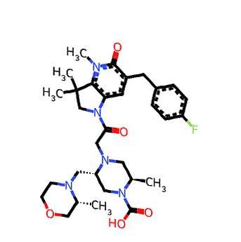 C[C@@H]1COCCN1C[C@H]1CN(C(=O)O)[C@H](C)CN1CC(=O)N1CC(C)(C)c2c1cc(Cc1ccc(F)cc1)c(=O)n2C